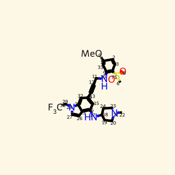 COc1ccc(S(C)(=O)=O)c(NCC#Cc2cc(NC3CCN(C)CC3)c3ccn(CC(F)(F)F)c3c2)c1